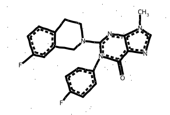 Cn1cnc2c(=O)n(-c3ccc(F)cc3)c(N3CCc4ccc(F)cc4C3)nc21